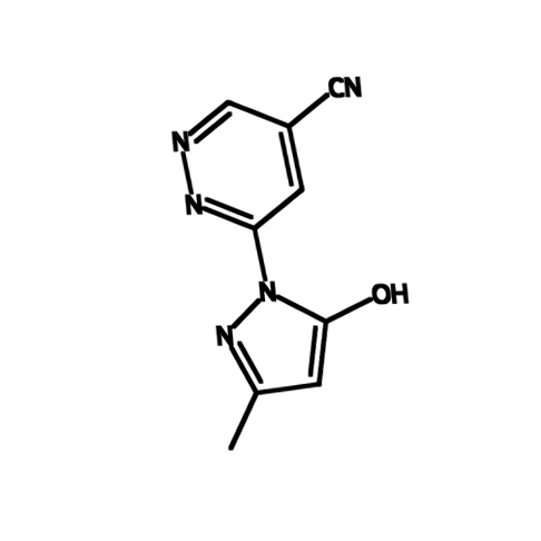 Cc1cc(O)n(-c2cc(C#N)cnn2)n1